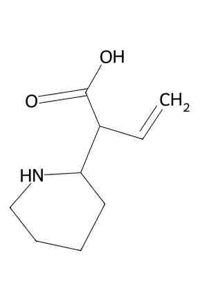 C=CC(C(=O)O)C1CCCCN1